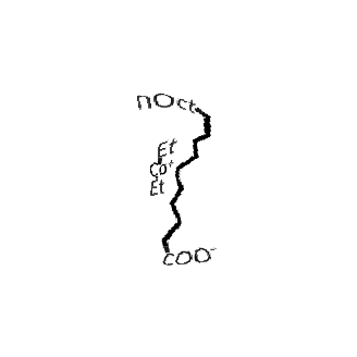 CCCCCCCC/C=C\CCCCCCCC(=O)[O-].C[CH2][Co+][CH2]C